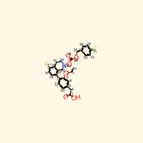 CCOc1cc(CC(=O)O)ccc1-c1ccc(F)c2c1CN(OC(=O)OCc1ccc(F)cc1)CC2